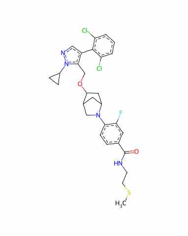 CSCCNC(=O)c1ccc(N2CC3CC2CC3OCc2c(-c3c(Cl)cccc3Cl)cnn2C2CC2)c(F)c1